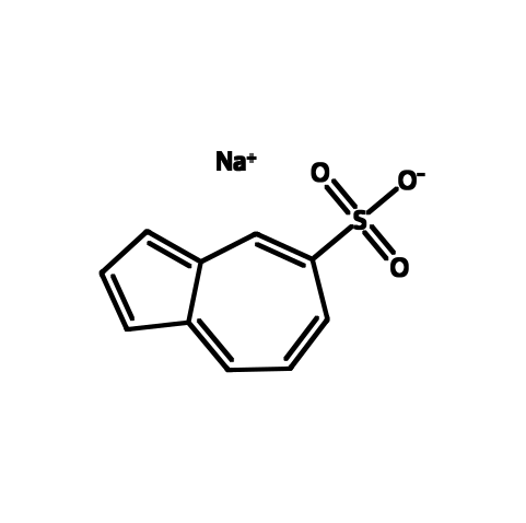 O=S(=O)([O-])c1cccc2cccc-2c1.[Na+]